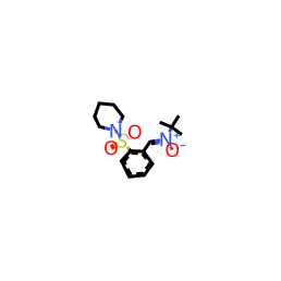 CC(C)(C)/[N+]([O-])=C/c1ccccc1S(=O)(=O)N1CCCCC1